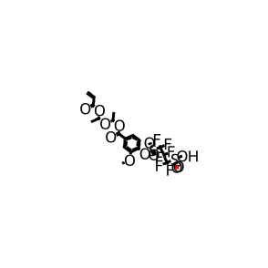 C=CC(=O)OC(C)OC(C)OC(=O)c1ccc(OS(=O)(=O)C(F)(F)C(F)(F)C(F)(F)S(=O)(=O)O)c(OC)c1